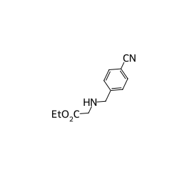 CCOC(=O)CNCc1ccc(C#N)cc1